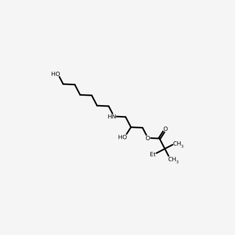 CCC(C)(C)C(=O)OCC(O)CNCCCCCCO